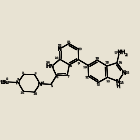 CC(C)(C)N1CCN(Cc2cc3c(-c4ccc5[nH]nc(N)c5c4)ccnc3[nH]2)CC1